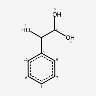 OC(O)C(O)c1ccccc1